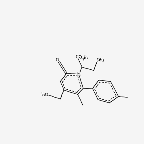 CCOC(=O)C(CC(C)(C)C)n1c(-c2ccc(C)cc2)c(C)c(CO)cc1=O